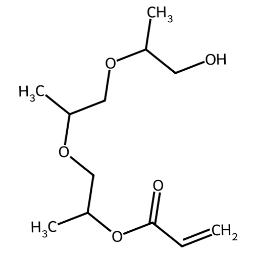 C=CC(=O)OC(C)COC(C)COC(C)CO